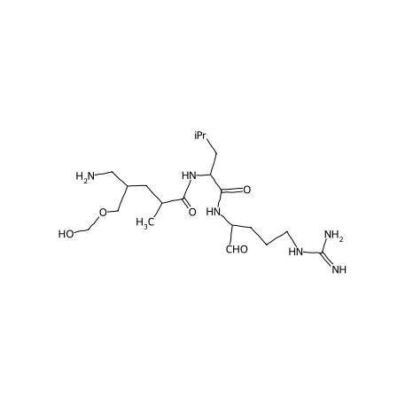 CC(C)CC(NC(=O)C(C)CC(CN)COCO)C(=O)NC(C=O)CCCNC(=N)N